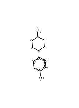 Oc1ccc(C2CCC(C(F)(F)F)CC2)nc1